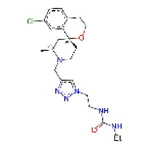 CCNC(=O)NCCn1cc(CN2CC[C@]3(C[C@@H]2C)OCCc2ccc(Cl)cc23)nn1